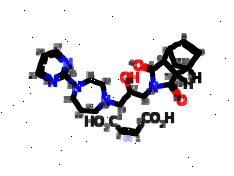 O=C(O)/C=C\C(=O)O.O=C1C2C3C=C[C@@H](C3)[C@@H]2C(=O)N1CC(O)CN1CCCN(c2ncccn2)CC1